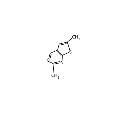 Cc1ncc2cc(C)sc2n1